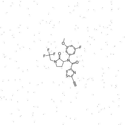 C#Cc1nc(C(=O)N(c2cc(F)cc(OC)c2)C2CCN(CC(F)(F)F)C2=O)cs1